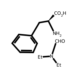 CCN(C=O)CC.N[C@@H](Cc1ccccc1)C(=O)O